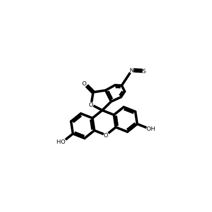 O=C1OC2(c3ccc(O)cc3Oc3cc(O)ccc32)c2ccc(N=S)cc21